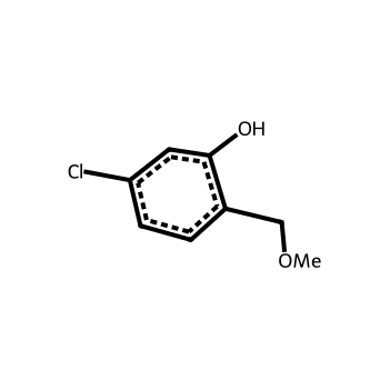 COCc1ccc(Cl)cc1O